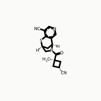 C[C@]1(C(=O)N2C[C@@H]3C[C@H]2c2cncc(C#N)c2S3)C[C@H](C#N)C1